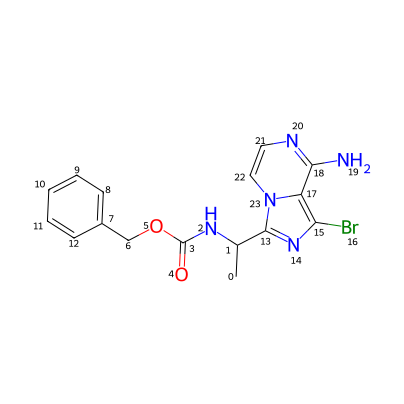 CC(NC(=O)OCc1ccccc1)c1nc(Br)c2c(N)nccn12